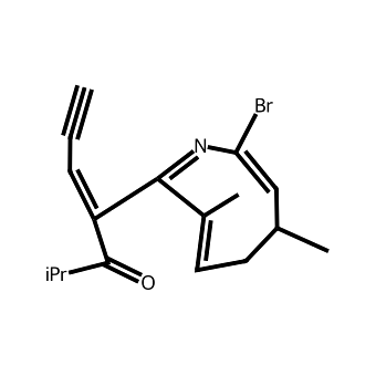 C#C\C=C(C(=O)C(C)C)/C1=N/C(Br)=C\C(C)C\C=C\1C